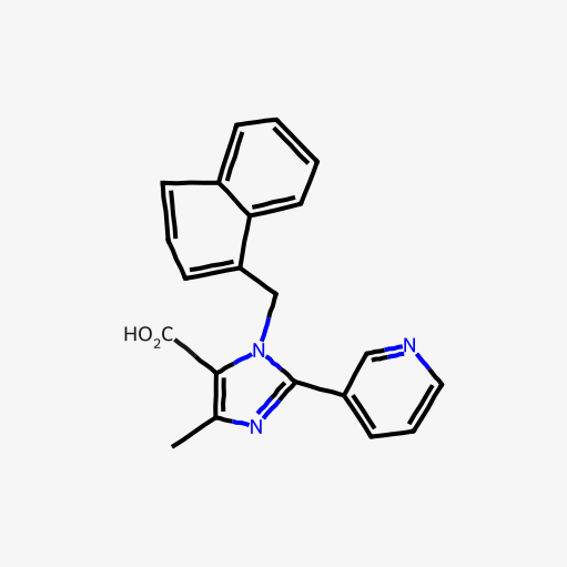 Cc1nc(-c2cccnc2)n(Cc2cccc3ccccc23)c1C(=O)O